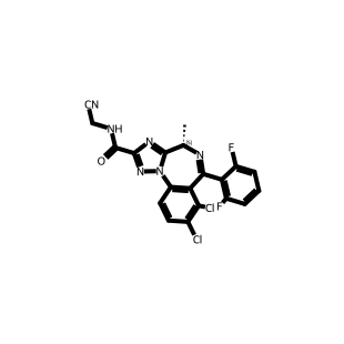 C[C@@H]1N=C(c2c(F)cccc2F)c2c(ccc(Cl)c2Cl)-n2nc(C(=O)NCC#N)nc21